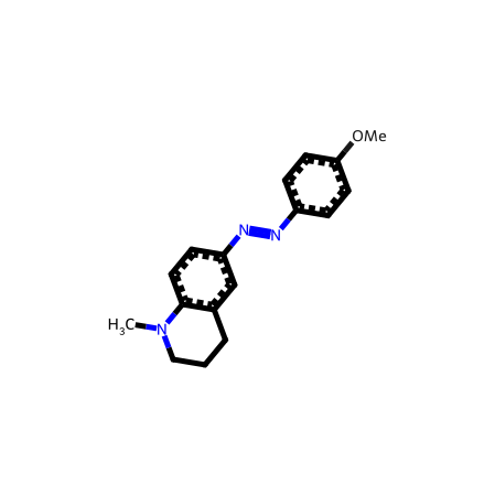 COc1ccc(N=Nc2ccc3c(c2)CCCN3C)cc1